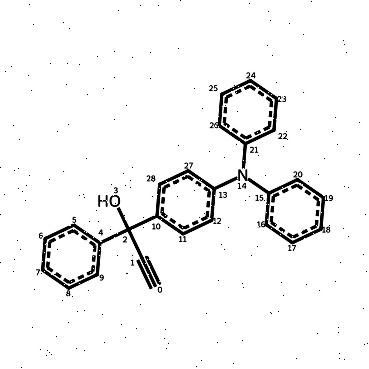 C#CC(O)(c1ccccc1)c1ccc(N(c2ccccc2)c2ccccc2)cc1